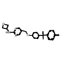 Cc1ccc(C(C)(C)c2ccc(OCc3cnc(NC4COC4)nc3)cc2)cc1